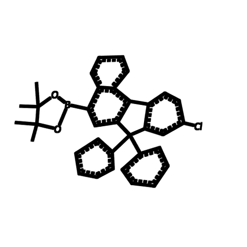 CC1(C)OB(c2cc3c(c4ccccc24)-c2ccc(Cl)cc2C3(c2ccccc2)c2ccccc2)OC1(C)C